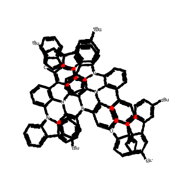 CC(C)(C)c1ccc2c(c1)B1c3ccc(-n4c5ccc(C(C)(C)C)cc5c5cc(C(C)(C)C)ccc54)cc3N(c3c(-c4ccc5c(c4)oc4ccccc45)cccc3-n3c4ccccc4c4ccccc43)c3cc(-n4c5ccc(C(C)(C)C)cc5c5cc(C(C)(C)C)ccc54)cc(c31)N2c1c(-c2cccc3c2oc2ccccc23)cccc1-n1c2ccccc2c2ccccc21